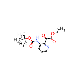 CCOC(=O)C(=O)c1ncccc1NC(=O)OC(C)(C)C